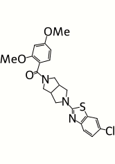 COc1ccc(C(=O)N2CC3CN(c4nc5ccc(Cl)cc5s4)CC3C2)c(OC)c1